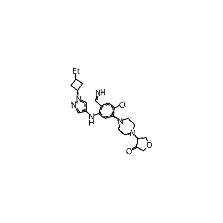 CCC1CC(n2cc(Nc3cc(N4CCN(C5COCC5=O)CC4)c(Cl)cc3C=N)cn2)C1